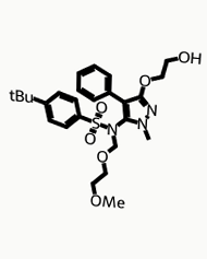 COCCOCN(c1c(-c2ccccc2)c(OCCO)nn1C)S(=O)(=O)c1ccc(C(C)(C)C)cc1